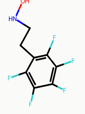 ONCCc1c(F)c(F)c(F)c(F)c1F